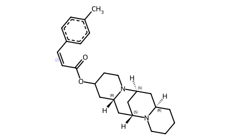 Cc1ccc(/C=C\C(=O)OC2CCN3[C@@H]4C[C@@H](C[C@@H]3C2)N2CCCC[C@@H]2C4)cc1